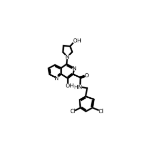 O=C(NCc1cc(Cl)cc(Cl)c1)c1nc(N2CCC(O)C2)c2cccnc2c1O